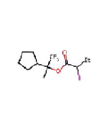 CCC(I)C(=O)OC(C)(C1CCCC1)C(F)(F)F